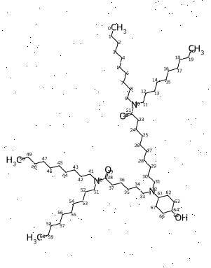 CCCCCCCCCCN(CCCCCCCCCC)C(=O)CCCCCCCCCN(CCCCCC(=O)N(CCCCCCCCCC)CCCCCCCCCC)C1CCC(O)CC1